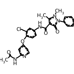 CC(=O)Nc1cc(Oc2ccc(NC(=O)c3c(C)n(C)n(-c4ccccc4)c3=O)cc2Cl)ccn1